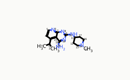 CC(C)c1ccnc2nc(NC3CCN(C)CC3)nc(N)c12